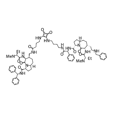 CC[C@H](NC)C(=O)N[C@@H]1C(=O)N2[C@@H](CC[C@@H]1CNC(=O)CCCNc1c(NCCCCNC(=O)[C@@H](NC(=O)[C@@H]3CC[C@@H]4CC[C@H](CCNCc5ccccc5)[C@H](NC(=O)[C@H](CC)NC)C(=O)N43)c3ccccc3)c(=O)c1=O)CC[C@H]2C(=O)NC(c1ccccc1)c1ccccc1